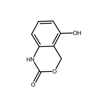 O=C1Nc2cccc(O)c2CO1